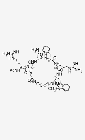 CC(=O)N[C@H](CCCNC(=N)N)C(=O)N[C@H]1CCC(=O)NCCC[C@@H](C(=O)O)NC(=O)[C@H](Cc2c[nH]c3ccccc23)NC(=O)[C@H](CCCNC(=N)N)NC(=O)[C@@H](Cc2ccccc2)NC(=O)C(CCN)NC1=O